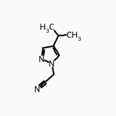 CC(C)c1cnn(CC#N)c1